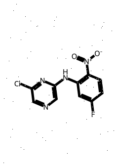 O=[N+]([O-])c1ccc(F)cc1Nc1cncc(Cl)n1